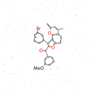 C=C1C=C(C)c2ccc3oc(C(=O)c4cccc(OC)c4)c(-c4cccc(Br)c4)c3c2O1